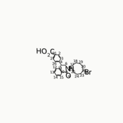 O=C(O)c1ccc(CCN(C(=O)c2ccccc2)N2CCCCC(Br)CCC2)cc1